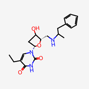 CCc1cn([C@@H]2CC(O)[C@H](CNC(C)Cc3ccccc3)O2)c(=O)[nH]c1=O